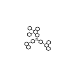 c1ccc(-c2c(-c3ccccc3)c3cc(N(c4ccc(-c5cccc6ccccc56)cc4)c4ccc(-c5cc6ccccc6c6ccccc56)cc4)ccc3c3ccccc23)cc1